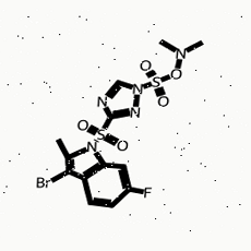 Cc1c(Br)c2ccc(F)cc2n1S(=O)(=O)c1ncn(S(=O)(=O)ON(C)C)n1